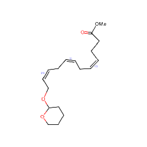 COC(=O)CC/C=C\C/C=C\C/C=C\COC1CCCCO1